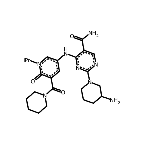 CC(C)n1cc(Nc2nc(N3CCCC(N)C3)ncc2C(N)=O)cc(C(=O)N2CCCCC2)c1=O